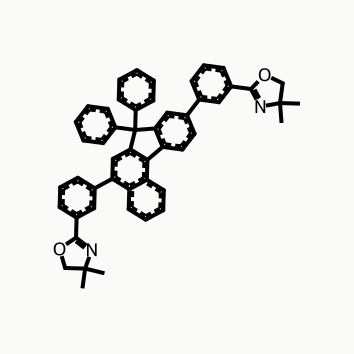 CC1(C)COC(c2cccc(-c3ccc4c(c3)C(c3ccccc3)(c3ccccc3)c3cc(-c5cccc(C6=NC(C)(C)CO6)c5)c5ccccc5c3-4)c2)=N1